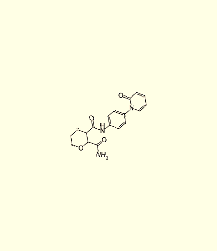 NC(=O)C1OCC[C]C1C(=O)Nc1ccc(-n2ccccc2=O)cc1